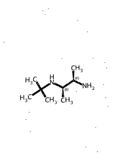 C[C@@H](N)[C@@H](C)NC(C)(C)C